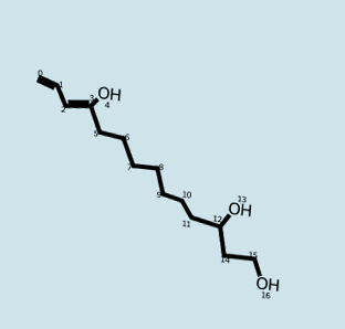 C=CC=C(O)CCCCCCCC(O)CCO